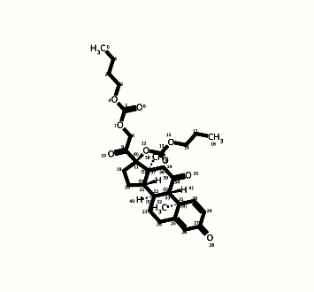 CCCCOC(=O)OCC(=O)[C@@]1(OC(=O)OCCC)CC[C@H]2[C@@H]3CCC4=CC(=O)C=C[C@]4(C)[C@H]3C(=O)C[C@@]21C